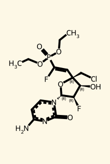 CCOP(=O)(OCC)C(F)=C[C@@]1(CCl)O[C@@H](n2ccc(N)nc2=O)[C@H](F)[C@@H]1O